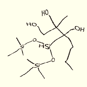 CCCC(O)([SiH](O[Si](C)(C)C)O[Si](C)(C)C)C(C)(O)CO